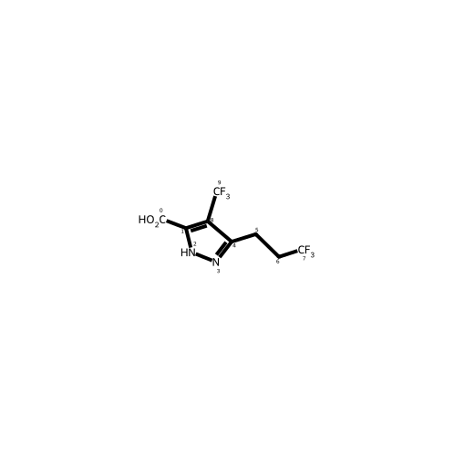 O=C(O)c1[nH]nc(CCC(F)(F)F)c1C(F)(F)F